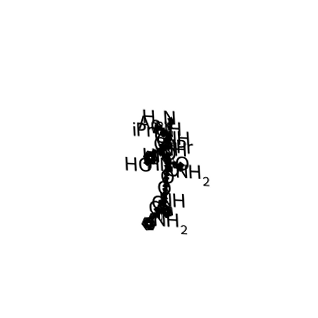 CC(=O)[C@H](CC(C)C)NC(=O)[C@H](CCCN)NC(=O)[C@@H](NC(=O)[C@H](Cc1ccc(O)cc1)NC(=O)[C@H](CCC(N)=O)NC(=O)COCCOCCNC(=O)C1CCCN1C(=O)[C@H](N)Cc1ccccc1)C(C)C